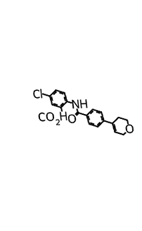 O=C(Nc1ccc(Cl)cc1C(=O)O)c1ccc(C2=CCOCC2)cc1